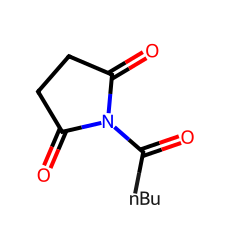 CCCCC(=O)N1C(=O)CCC1=O